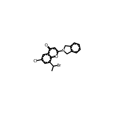 CC(Br)c1cc(Cl)cc2c(=O)cc(N3Cc4ccccc4C3)oc12